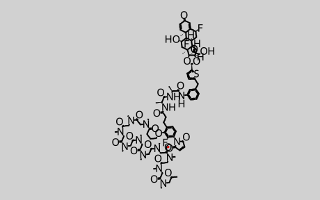 CC(=O)CN(C)C(=O)CN(C)C(=O)CN(C)C(=O)CN(C)C(=O)CN(C)C(=O)CN(C)C(=O)CN(C)C(=O)CN(C)C(=O)CN(C)C(=O)CN(C)C(=O)CCCOc1c(CCC(=O)N[C@@H](C)C(=O)N[C@@H](C)C(=O)Nc2cccc(Cc3ccc([C@@H]4O[C@@H]5C[C@H]6[C@@H]7C[C@H](F)C8=CC(=O)C=C[C@]8(C)[C@@]7(F)[C@@H](O)C[C@]6(C)[C@]5(C(=O)CO)O4)s3)c2)ccc(N2C(=O)C=CC2=O)c1F